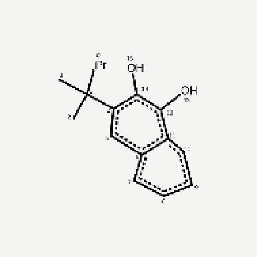 CC(C)C(C)(C)c1cc2ccccc2c(O)c1O